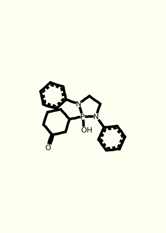 O=C1CCCC([P]2(O)N(c3ccccc3)CCN2c2ccccc2)C1